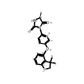 C[C@@H]1NC(=O)N(c2ccc(Oc3cccc4c3C(C)(C)CO4)cn2)C1=O